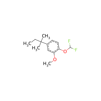 CCC(C)(C)c1ccc(OC(F)F)c(OC)c1